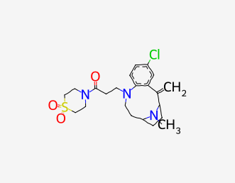 C=C1c2cc(Cl)ccc2N(CCC(=O)N2CCS(=O)(=O)CC2)CCC2CCC1N2C